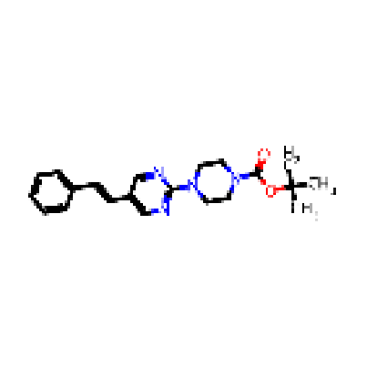 CC(C)(C)OC(=O)N1CCN(c2ncc(C=Cc3ccccc3)cn2)CC1